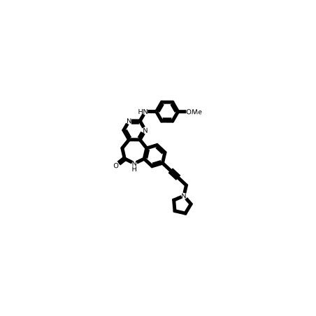 COc1ccc(Nc2ncc3c(n2)-c2ccc(C#CCN4CCCC4)cc2NC(=O)C3)cc1